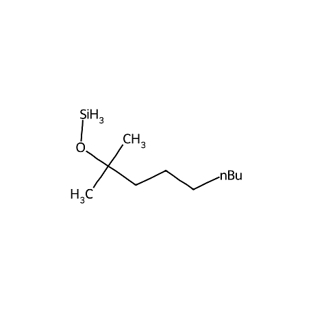 CCCCCCCC(C)(C)O[SiH3]